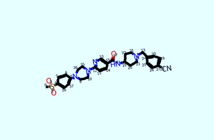 CS(=O)(=O)c1ccc(N2CCN(c3ccc(C(=O)NC4CCN(Cc5ccc(C#N)cc5)CC4)cn3)CC2)cc1